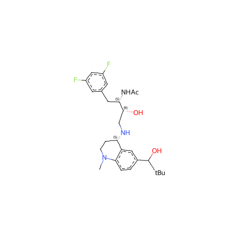 CC(=O)N[C@@H](Cc1cc(F)cc(F)c1)[C@H](O)CN[C@H]1CCN(C)c2ccc(C(O)C(C)(C)C)cc21